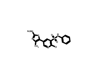 CC(=O)Nc1nc(C)c(-c2cnc(Cl)c(S(=O)(=O)Nc3ccccc3)c2)s1